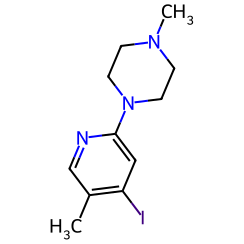 Cc1cnc(N2CCN(C)CC2)cc1I